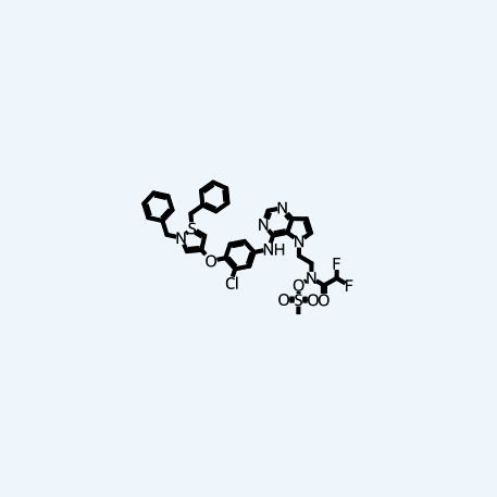 CS(=O)(=O)ON(CCn1ccc2ncnc(Nc3ccc(OC4=CN(Cc5ccccc5)S(Cc5ccccc5)=C4)c(Cl)c3)c21)C(=O)C(F)F